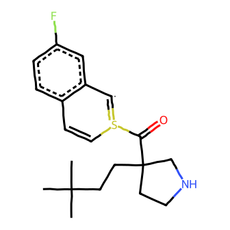 CC(C)(C)CCC1(C(=O)S2=[C]c3cc(F)ccc3C=C2)CCNC1